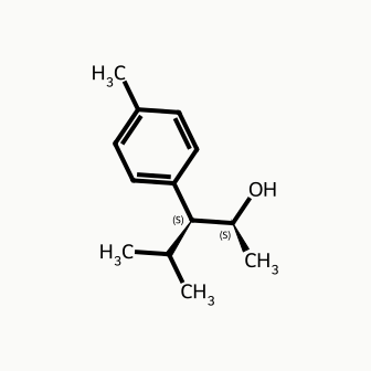 Cc1ccc([C@H](C(C)C)[C@H](C)O)cc1